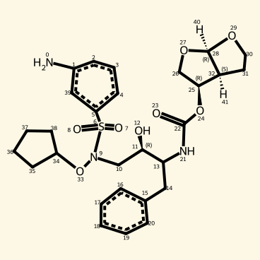 Nc1cccc(S(=O)(=O)N(C[C@@H](O)C(Cc2ccccc2)NC(=O)O[C@H]2CO[C@H]3OCC[C@H]32)OC2CCCC2)c1